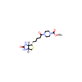 CC(C)(C)OC(=O)N1CCN(C(=O)CCCC[C@@H]2SC[C@@H]3NC(=O)N[C@@H]32)CC1